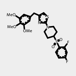 COc1cc(Cc2csc(N3CCC(S(=O)(=O)c4ccc(F)cc4F)CC3)n2)cc(OC)c1OC